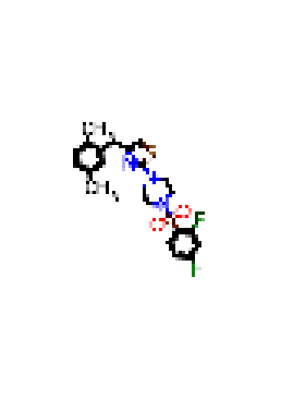 Cc1ccc(C)c(Cc2csc(N3CCN(S(=O)(=O)c4ccc(F)cc4F)CC3)n2)c1